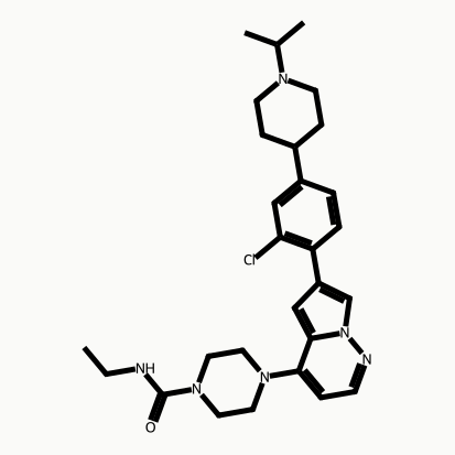 CCNC(=O)N1CCN(c2ccnn3cc(-c4ccc(C5CCN(C(C)C)CC5)cc4Cl)cc23)CC1